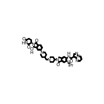 CC(C)Oc1cc2c(cc1NC(=O)c1cnn3cccnc13)CN(C1CCN(CC3CCN(c4ccc5c(c4)C(O)N([C@H]4CCC(=O)NC4=O)C5=O)CC3)CC1)C2=O